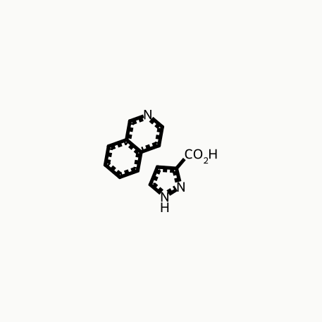 O=C(O)c1cc[nH]n1.c1ccc2cnccc2c1